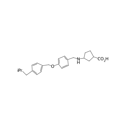 CC(C)Cc1ccc(COc2ccc(CNC3CCC(C(=O)O)C3)cc2)cc1